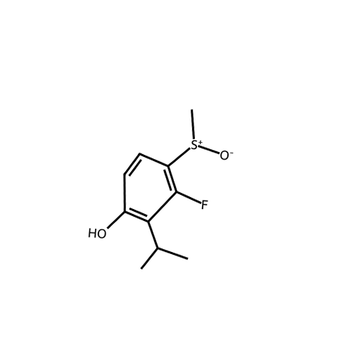 CC(C)c1c(O)ccc([S+](C)[O-])c1F